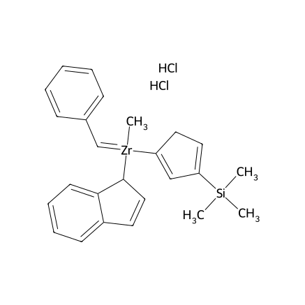 C[Si](C)(C)C1=CC[C]([Zr]([CH3])(=[CH]c2ccccc2)[CH]2C=Cc3ccccc32)=C1.Cl.Cl